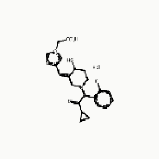 Cl.O=C(O)Cn1cnc(C=C2CN(C(C(=O)C3CC3)c3ccccc3F)CCC2S)c1